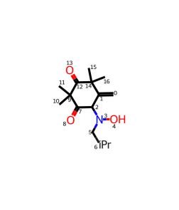 C=C1C(N(O)CC(C)C)C(=O)C(C)(C)C(=O)C1(C)C